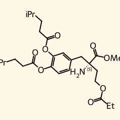 CCC(=O)OCC[C@@](N)(Cc1ccc(OC(=O)CCC(C)C)c(OC(=O)CCC(C)C)c1)C(=O)OC